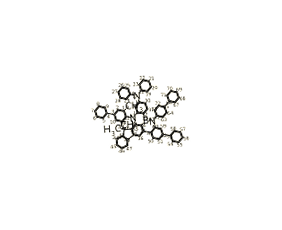 Cc1cc(-c2ccccc2)ccc1N1c2cc(N(c3ccccc3)c3ccccc3)ccc2B2c3c(cc4c(c31)C(C)(C)c1ccccc1-4)-c1ccc(-c3ccccc3)cc1N2c1ccc(-c2ccccc2)cc1